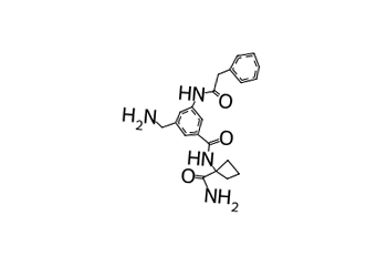 NCc1cc(NC(=O)Cc2ccccc2)cc(C(=O)NC2(C(N)=O)CCC2)c1